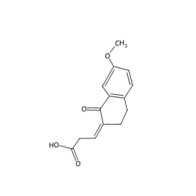 COc1ccc2c(c1)C(=O)C(=CCC(=O)O)CC2